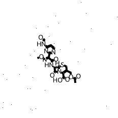 CON=C(C(=O)N[C@@H]1C(=O)N2C(C(=O)O)=C(COC(C)=O)CS[C@H]12)c1nccc(NC=O)n1